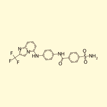 NS(=O)(=O)c1ccc(C(=O)Nc2ccc(Nc3cccc4nc(C(F)(F)F)cn34)cc2)cc1